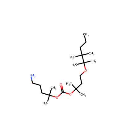 CCCC(C)(C)C(C)(C)OCCC(C)(C)OC(=O)OC(C)(C)CCCN